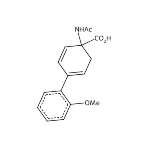 COc1ccccc1C1=CCC(NC(C)=O)(C(=O)O)C=C1